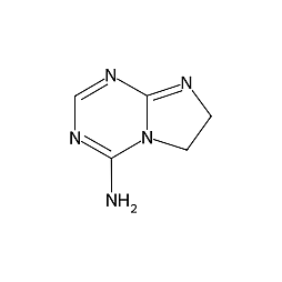 NC1=NC=NC2=NCCN12